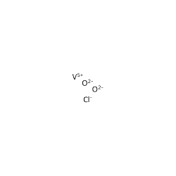 [Cl-].[O-2].[O-2].[V+5]